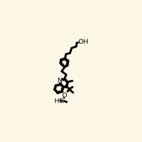 Cc1c(CCc2ccc(CCCCCO)cc2)nc2cccc(O[SiH](C)C)c2c1C(C)(C)C